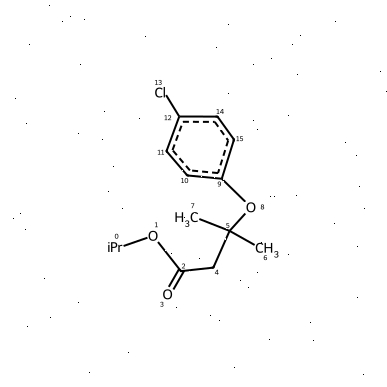 CC(C)OC(=O)CC(C)(C)Oc1ccc(Cl)cc1